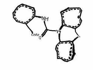 COc1ccccc1NC(=O)N1c2ccccc2Sc2ccccc21